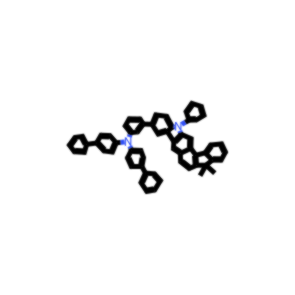 CC1(C)c2ccccc2-c2c1ccc1cc3c4cc(-c5cccc(N(c6ccc(-c7ccccc7)cc6)c6ccc(-c7ccccc7)cc6)c5)ccc4n(-c4ccccc4)c3cc21